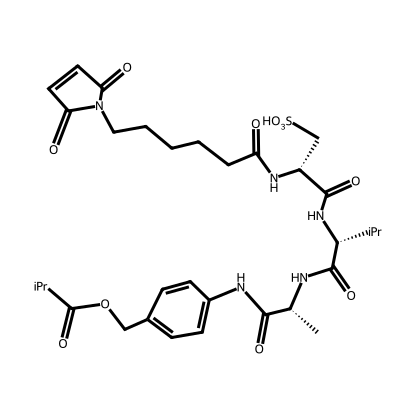 CC(C)C(=O)OCc1ccc(NC(=O)[C@@H](C)NC(=O)[C@H](NC(=O)[C@@H](CS(=O)(=O)O)NC(=O)CCCCCN2C(=O)C=CC2=O)C(C)C)cc1